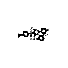 COc1cccc(OC)c1-n1c(-c2ccc(F)cc2)nc(=O)c(S(=O)(=O)c2ccc(C3CC3)cc2)c1O